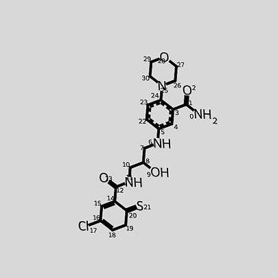 NC(=O)c1cc(NCC(O)CNC(=O)C2=CC(Cl)=CCC2=S)ccc1N1CCOCC1